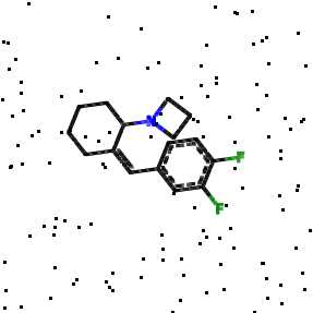 Fc1ccc(/C=C2/CCCCC2N2CCC2)cc1F